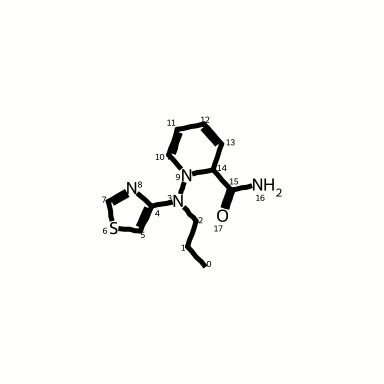 CCCN(c1cscn1)N1[C]=CC=CC1C(N)=O